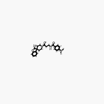 CCCC(=O)C1(c2ccccc2)CCN(C(=O)CCNC(=O)c2ccc(N(C)C)cc2)CC1